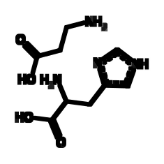 NC(Cc1c[nH]cn1)C(=O)O.NCCC(=O)O